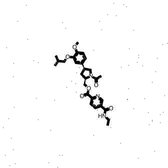 CCNC(=O)c1ccc(C(=O)OC[C@H]2C[C@@H](c3ccc(OC)c(OCC(C)C)c3)CN2C(C)=O)nc1